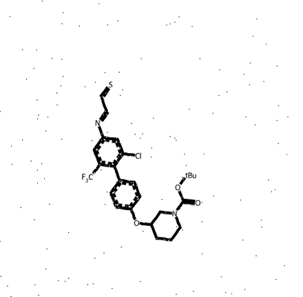 CC(C)(C)OC(=O)N1CCCC(Oc2ccc(-c3c(Cl)cc(N=CC=S)cc3C(F)(F)F)cc2)C1